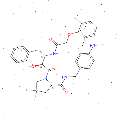 CNc1ccc(CNC(=O)[C@@H]2CC(F)(F)CN2C(=O)[C@@H](O)[C@H](Cc2ccccc2)NC(=O)COc2c(C)cccc2C)cc1